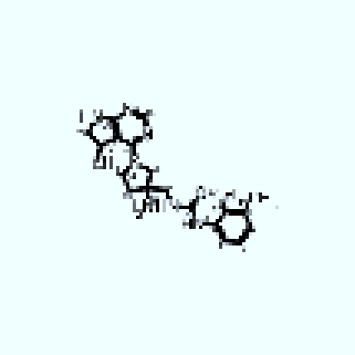 Cc1cccc(NC(=O)NCC2(N)CCN(c3ncnc4c3C(C)CN4)C2)c1C